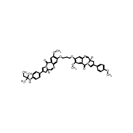 CCC(C)(C)Nc1ccc(C2=CN3C(=O)c4cc(OC)c(OCCCOc5cc6c(cc5OC)C(=O)N5C=C(c7ccc(OC)cc7)C[C@H]5C=N6)cc4N=C[C@@H]3C2)cc1